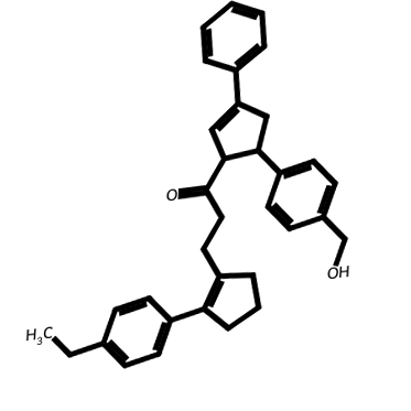 CCc1ccc(C2=C(CCC(=O)C3C=C(c4ccccc4)CC3c3ccc(CO)cc3)CCC2)cc1